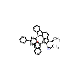 C=Cc1c(/C=C\C)n(-c2ccccc2)c2c1ccc1c3ccccc3n(-c3nc(-c4ccccc4)nc(-c4ccccc4)n3)c12